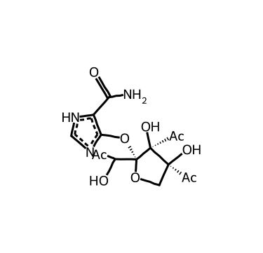 CC(=O)C(O)[C@]1(Oc2nc[nH]c2C(N)=O)OC[C@@](O)(C(C)=O)[C@@]1(O)C(C)=O